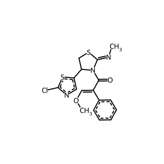 C/N=C1\SCC(c2cnc(Cl)s2)N1C(=O)/C(=C/OC)c1ccccc1